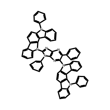 c1ccc(-c2nc3nc(-n4c5ccccc5c5ccc6c(c7ccccc7n6-c6ccccc6)c54)n(-c4ccccc4)c3nc2-n2c3ccccc3c3c2ccc2c4ccccc4n(-c4ccccc4)c23)cc1